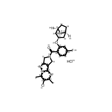 Cc1nc2c3c(nn2c(C)c1Cl)CN(C(=O)c1ccc(F)cc1O[C@H]1C[C@H]2CC[C@@H](C1)N2)C3.Cl